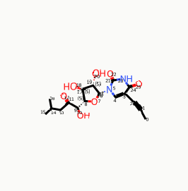 CC#Cc1cn([C@@H]2O[C@H](C(O)C(=O)CC(C)C)[C@@H](O)[C@@H]2O)c(=O)[nH]c1=O